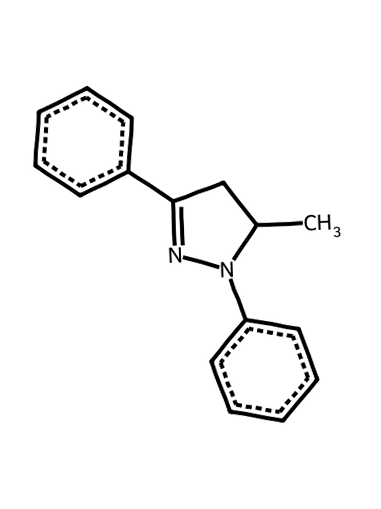 CC1CC(c2ccccc2)=NN1c1ccccc1